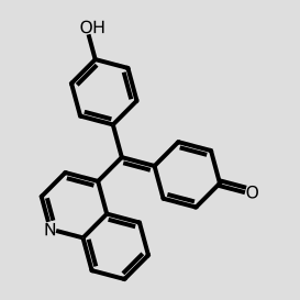 O=C1C=CC(=C(c2ccc(O)cc2)c2ccnc3ccccc23)C=C1